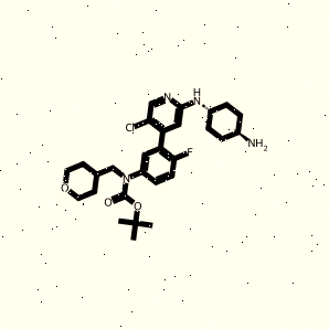 CC(C)(C)OC(=O)N(CC1CCOCC1)c1ccc(F)c(-c2cc(N[C@H]3CC[C@H](N)CC3)ncc2Cl)c1